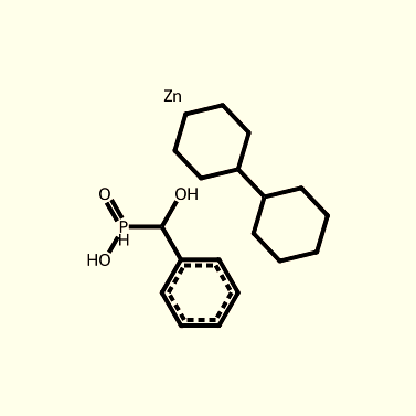 C1CCC(C2CCCCC2)CC1.O=[PH](O)C(O)c1ccccc1.[Zn]